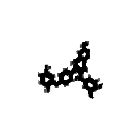 N#Cc1ccc2nc(Nc3cc[nH]c(=O)c3)c(N3CCN(Cc4cc(F)ccc4F)CC3)nc2c1